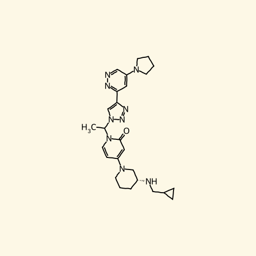 CC(n1cc(-c2cc(N3CCCC3)cnn2)nn1)n1ccc(N2CCC[C@@H](NCC3CC3)C2)cc1=O